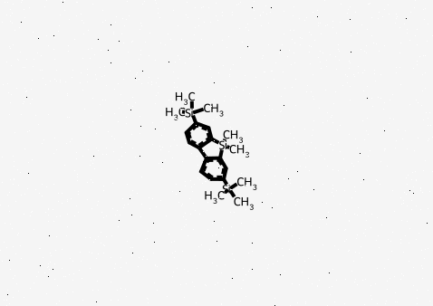 C[Si](C)(C)c1ccc2c(c1)[Si](C)(C)c1cc([Si](C)(C)C)ccc1-2